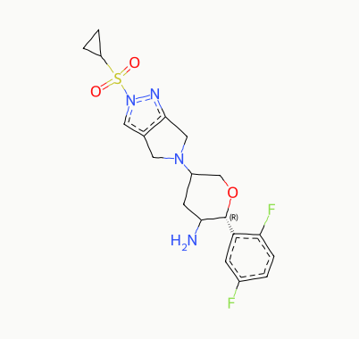 NC1CC(N2Cc3cn(S(=O)(=O)C4CC4)nc3C2)CO[C@@H]1c1cc(F)ccc1F